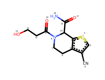 N#Cc1[c]sc2c1CCN(C(=O)CCO)C2C(N)=O